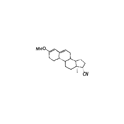 COC1=CC2=CCC3C(CC[C@@]4(C)C3CC[C@@H]4C#N)C2CC1